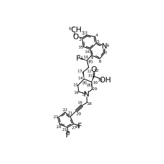 COc1ccc2nccc([C@H](F)CC[C@@H]3CCN(CC#Cc4cccc(F)c4F)C[C@@H]3C(=O)O)c2c1